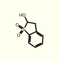 O=S1(=O)c2ccccc2CC1O